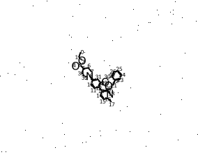 CCOC(=O)C1CCN(c2ccc(-c3ccc(C)nc3OCc3ccccc3)c(OC)c2)CC1